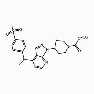 CN(c1ccc(S(C)(=O)=O)cc1)c1ncnc2c1cnn2C1CCN(C(=O)OC(C)(C)C)CC1